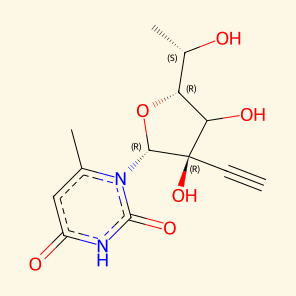 C#C[C@@]1(O)C(O)[C@@H]([C@H](C)O)O[C@H]1n1c(C)cc(=O)[nH]c1=O